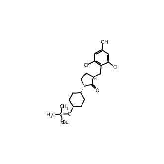 CC(C)(C)[Si](C)(C)O[C@H]1CC[C@H](N2CC[C@@H](Cc3c(Cl)cc(O)cc3Cl)C2=O)CC1